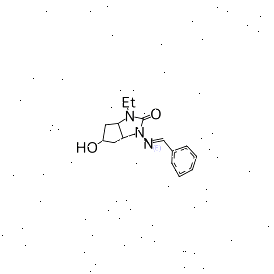 CCN1C(=O)N(/N=C/c2ccccc2)C2CC(O)CC21